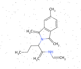 C=CNC(=C)C(CCC)n1c(=C)c2ccc(C)cc2c1=C